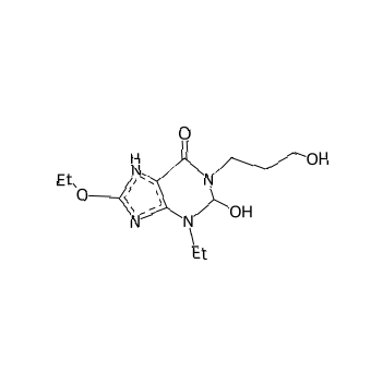 CCOc1nc2c([nH]1)C(=O)N(CCCO)C(O)N2CC